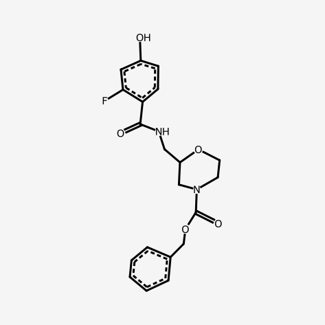 O=C(NCC1CN(C(=O)OCc2ccccc2)CCO1)c1ccc(O)cc1F